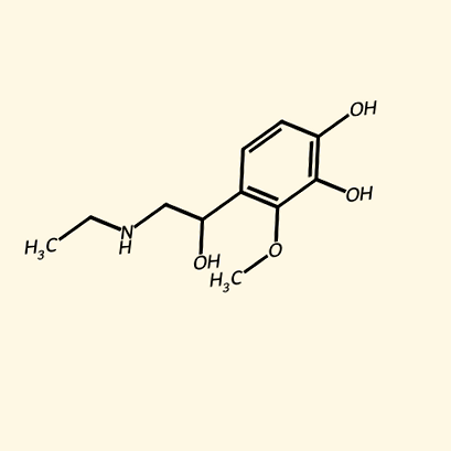 CCNCC(O)c1ccc(O)c(O)c1OC